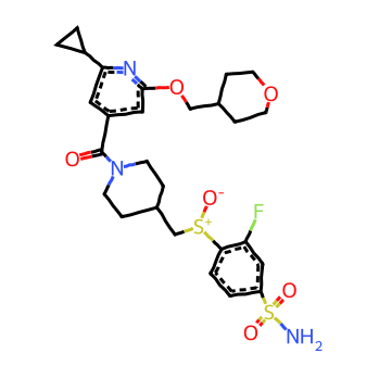 NS(=O)(=O)c1ccc([S+]([O-])CC2CCN(C(=O)c3cc(OCC4CCOCC4)nc(C4CC4)c3)CC2)c(F)c1